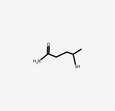 CC(S)CCC(N)=O